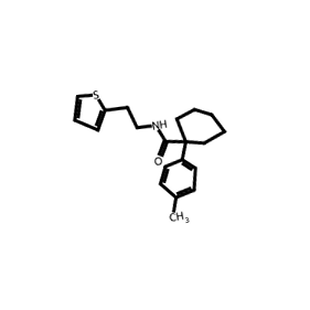 Cc1ccc(C2(C(=O)NCCc3cccs3)CCCCC2)cc1